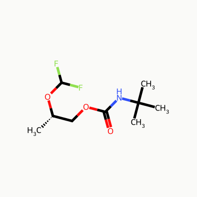 C[C@@H](COC(=O)NC(C)(C)C)OC(F)F